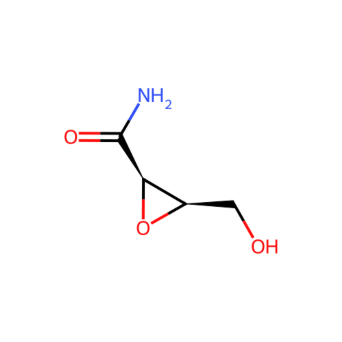 NC(=O)[C@@H]1O[C@@H]1CO